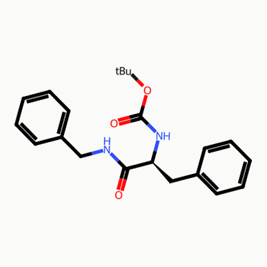 CC(C)(C)OC(=O)N[C@@H](Cc1ccccc1)C(=O)NCc1ccccc1